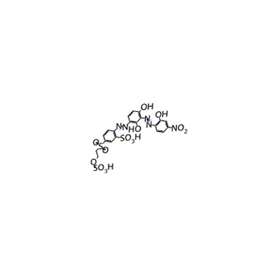 O=[N+]([O-])c1ccc(/N=N/c2c(O)ccc(/N=N/c3ccc(S(=O)(=O)CCOS(=O)(=O)O)cc3S(=O)(=O)O)c2O)c(O)c1